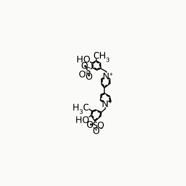 Cc1cc(C[n+]2ccc(-c3cc[n+](Cc4cc(C)c(O)c(S(=O)(=O)[O-])c4)cc3)cc2)cc(S(=O)(=O)[O-])c1O